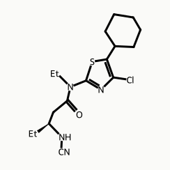 CC[C@@H](CC(=O)N(CC)c1nc(Cl)c(C2CCCCC2)s1)NC#N